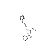 NC(=CS(=O)(=O)c1ccccc1)NCCSCc1ccon1